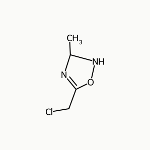 CC1N=C(CCl)ON1